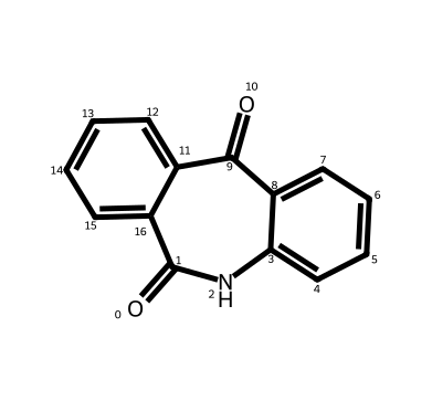 O=c1[nH]c2ccccc2c(=O)c2ccccc12